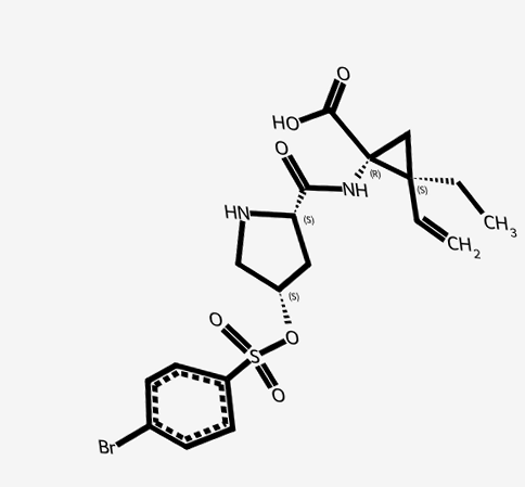 C=C[C@]1(CC)C[C@]1(NC(=O)[C@@H]1C[C@H](OS(=O)(=O)c2ccc(Br)cc2)CN1)C(=O)O